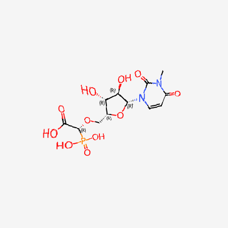 Cn1c(=O)ccn([C@@H]2O[C@H](CO[C@@H](C(=O)O)P(=O)(O)O)[C@H](O)[C@H]2O)c1=O